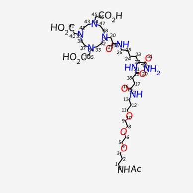 CC(=O)NCCCOCCOCCOCCCNC(=O)CCC(=O)N[C@@H](CCCCNC(=O)CN1CCN(CC(=O)O)CCN(CC(=O)O)CCN(CC(=O)O)CC1)C(N)=O